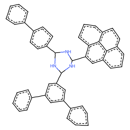 c1ccc(-c2ccc(C3NC(c4cc(-c5ccccc5)cc(-c5ccccc5)c4)NC(c4cc5cccc6ccc7cccc4c7c65)N3)cc2)cc1